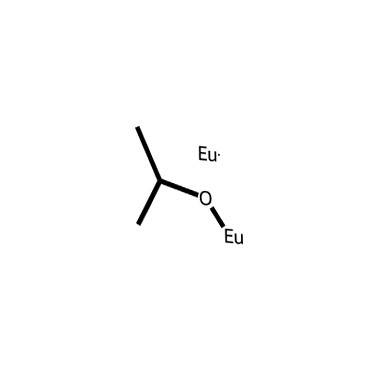 CC(C)[O][Eu].[Eu]